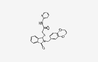 O=C(CSC1c2ccccc2C(=O)N1Cc1ccc2c(c1)OCCO2)Nc1ccccn1